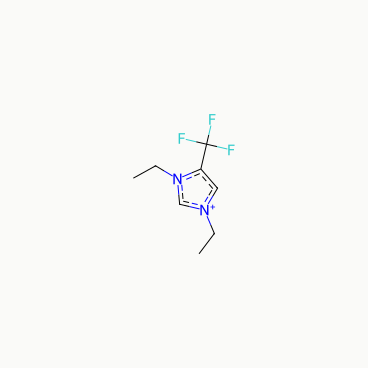 CCn1c[n+](CC)cc1C(F)(F)F